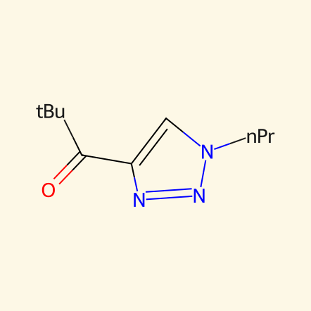 CCCn1cc(C(=O)C(C)(C)C)nn1